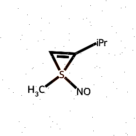 CC(C)C1=CS1(C)N=O